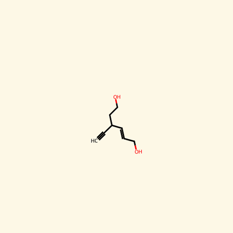 C#CC(C=CCO)CCO